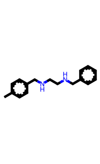 Cc1ccc(CNCCNCc2ccccc2)cc1